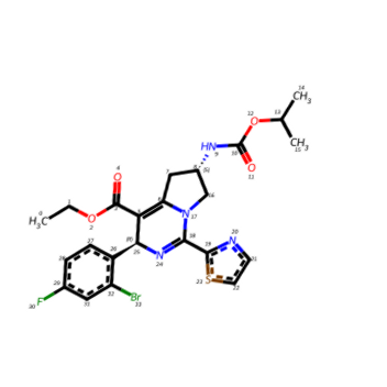 CCOC(=O)C1=C2C[C@H](NC(=O)OC(C)C)CN2C(c2nccs2)=N[C@H]1c1ccc(F)cc1Br